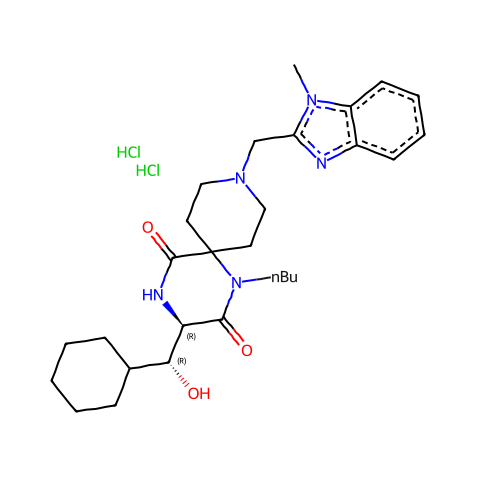 CCCCN1C(=O)[C@@H]([C@H](O)C2CCCCC2)NC(=O)C12CCN(Cc1nc3ccccc3n1C)CC2.Cl.Cl